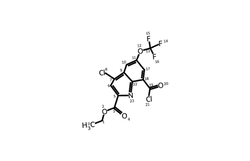 CCOC(=O)c1cc(Cl)c2cc(OC(F)(F)F)cc(C(=O)Cl)c2n1